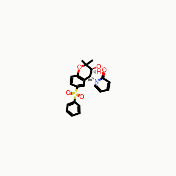 CC1(C)Oc2ccc(S(=O)(=O)c3ccccc3)cc2[C@@H](n2ccccc2=O)[C@@H]1O